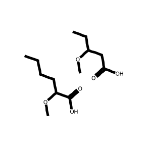 CCC(CC(=O)O)OC.CCCCC(OC)C(=O)O